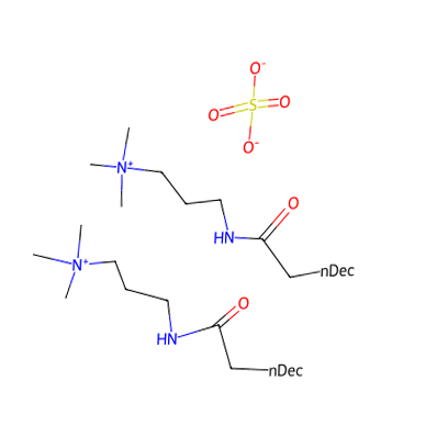 CCCCCCCCCCCC(=O)NCCC[N+](C)(C)C.CCCCCCCCCCCC(=O)NCCC[N+](C)(C)C.O=S(=O)([O-])[O-]